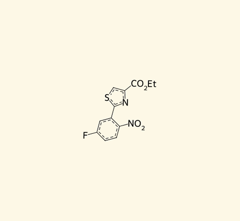 CCOC(=O)c1csc(-c2cc(F)ccc2[N+](=O)[O-])n1